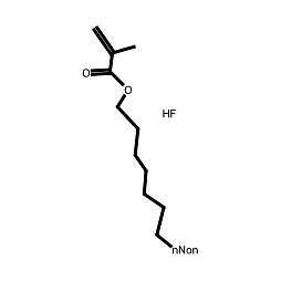 C=C(C)C(=O)OCCCCCCCCCCCCCCCC.F